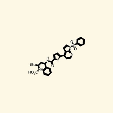 CC(C)(C)C(CC(NC(=O)c1ccc(-c2ccnc3c2ccn3S(=O)(=O)c2ccccc2)s1)c1ccccc1)NC(=O)O